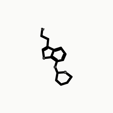 BrCCc1coc2c(OC3CCCCO3)cccc12